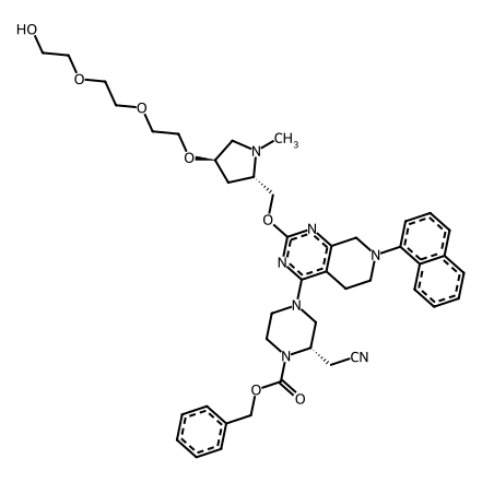 CN1C[C@H](OCCOCCOCCO)C[C@H]1COc1nc2c(c(N3CCN(C(=O)OCc4ccccc4)[C@@H](CC#N)C3)n1)CCN(c1cccc3ccccc13)C2